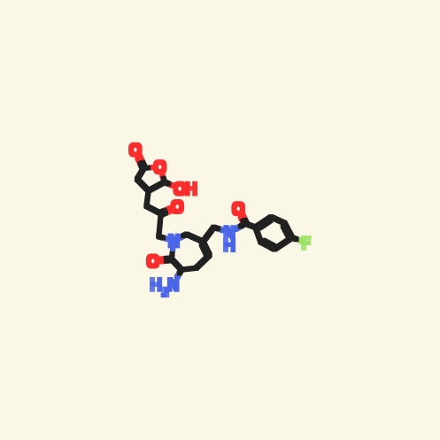 NC1CC=C(CNC(=O)c2ccc(F)cc2)CN(CC(=O)CC2CC(=O)OC2O)C1=O